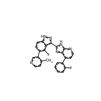 Cc1ccncc1-c1ccc2[nH]nc(-c3nc4c(-c5ccccc5F)ccnc4[nH]3)c2c1F